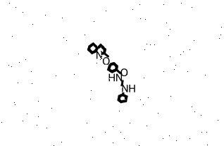 O=C(NCCNc1ccccc1)c1ccc(OCc2ccc3ccccc3n2)cc1